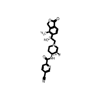 Cc1c([C@@H](O)CN2CC[C@H](NC(=O)c3ccc(C#N)cn3)[C@H](F)C2)ccc2c1COC2=O